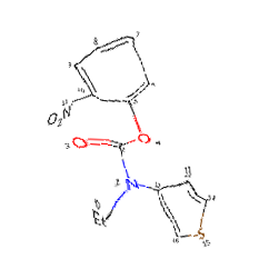 CCN(C(=O)Oc1ccccc1[N+](=O)[O-])c1ccsc1